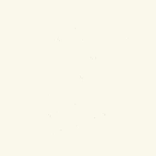 CC(C)CN(C(CO)CCCCNC(=O)C(Cc1ccc2ccccc2c1)NC(=O)c1cccnc1)S(=O)(=O)c1ccc(N)cc1